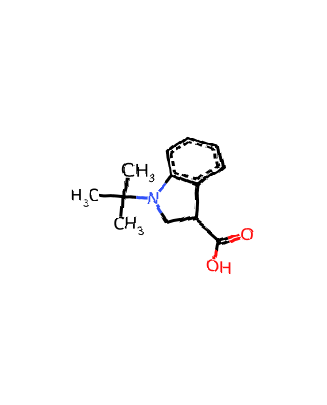 CC(C)(C)N1CC(C(=O)O)c2ccccc21